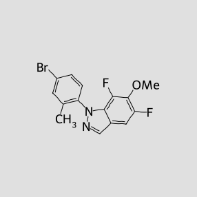 COc1c(F)cc2cnn(-c3ccc(Br)cc3C)c2c1F